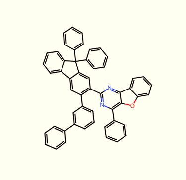 c1ccc(-c2cccc(-c3cc4c(cc3-c3nc(-c5ccccc5)c5oc6ccccc6c5n3)C(c3ccccc3)(c3ccccc3)c3ccccc3-4)c2)cc1